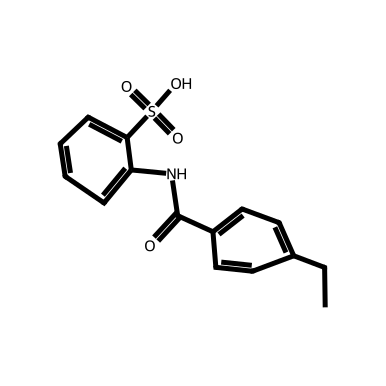 CCc1ccc(C(=O)Nc2ccccc2S(=O)(=O)O)cc1